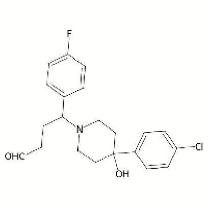 O=CCCC(c1ccc(F)cc1)N1CCC(O)(c2ccc(Cl)cc2)CC1